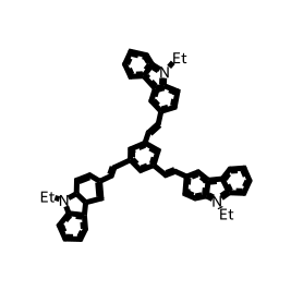 CCN1c2ccccc2C2C=C(/C=C/c3cc(/C=C/c4ccc5c(c4)c4ccccc4n5CC)cc(/C=C/c4ccc5c(c4)c4ccccc4n5CC)c3)C=CC21